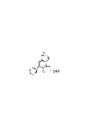 Cc1ccc2c(c1)OC(c1ccccc1)C(=O)N2CCC=O